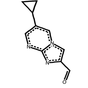 O=Cc1cn2cc(C3CC3)cnc2n1